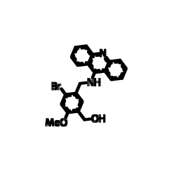 COc1cc(Br)c(CNc2c3ccccc3nc3ccccc23)cc1CO